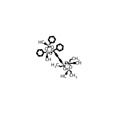 C#C[Si]1(CC)O[Si](C#C)(CC)O[Si](C#CC#C[Si]2(c3ccccc3)O[Si](C#C)(c3ccccc3)O[Si](C#C)(c3ccccc3)O2)(CC)O1